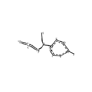 Cc1ccc(C(C)N=C=O)cc1